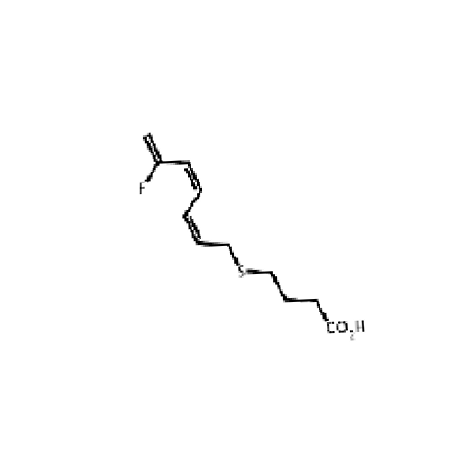 C=C(F)/C=C\C=C/CSCCCC(=O)O